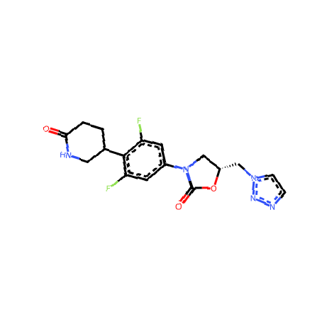 O=C1CCC(c2c(F)cc(N3C[C@H](Cn4ccnn4)OC3=O)cc2F)CN1